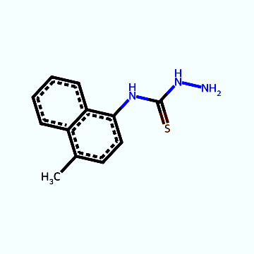 Cc1ccc(NC(=S)NN)c2ccccc12